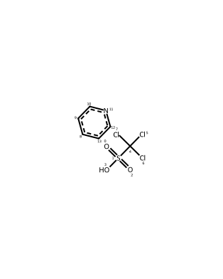 O=S(=O)(O)C(Cl)(Cl)Cl.c1ccncc1